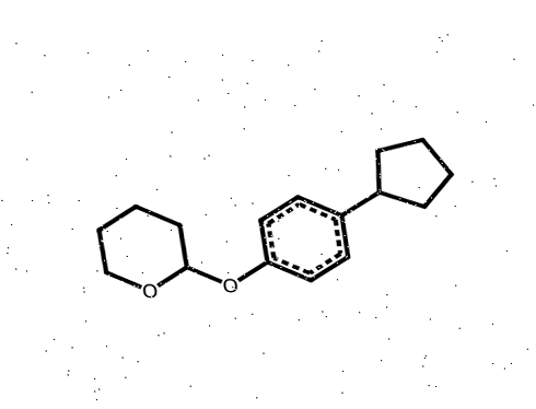 c1cc(C2CCCC2)ccc1OC1CCCCO1